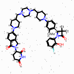 CCC1(CC)C(=O)N(c2cccc(F)c2O)[C@H]1c1ccc(N2CCC(CN3CCN(CC4CCN(c5ccc6c(c5)CN(C5CCC(=O)NC5=O)C6=O)CC4)CC3)CC2)cc1OC